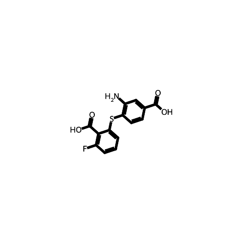 Nc1cc(C(=O)O)ccc1Sc1cccc(F)c1C(=O)O